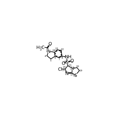 CC(=O)N1CCc2cc(NS(=O)(=O)C3C(Cl)N=C4SCCN43)ccc21